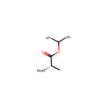 CCCC(CCC)OC(=O)[C@H](C)NC